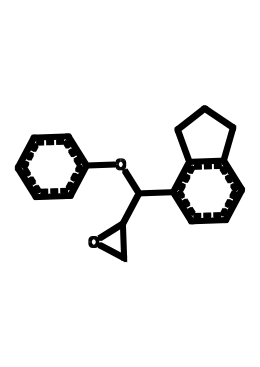 c1ccc(OC(c2cccc3c2CCC3)C2CO2)cc1